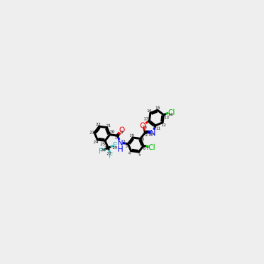 O=C(Nc1ccc(Cl)c(-c2nc3cc(Cl)ccc3o2)c1)c1ccccc1C(F)(F)F